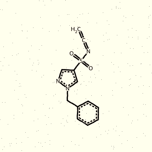 C=C=NS(=O)(=O)c1cnn(Cc2ccccc2)c1